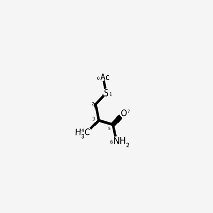 CC(=O)SCC(C)C(N)=O